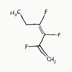 C=C(F)/C(F)=C(/F)CC